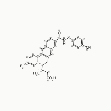 CC(CCc1nc2cc(C(=O)NCc3ccc(C#N)cc3)ccc2nc1-c1ccc(C(F)(F)F)cc1)CC(=O)O